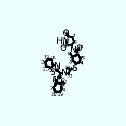 O=C1CCC(N2Cc3cc(SC4CN(C(c5nc6ccccc6s5)c5nc6ccccc6s5)C4)ccc3C2=O)C(=O)N1